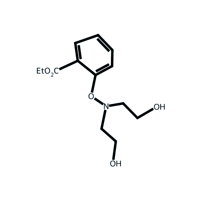 CCOC(=O)c1ccccc1ON(CCO)CCO